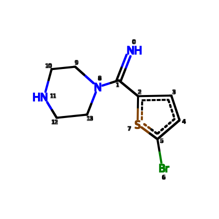 N=C(c1ccc(Br)s1)N1CCNCC1